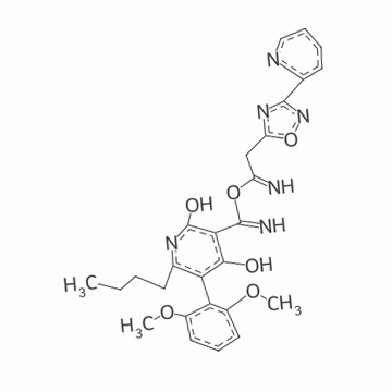 CCCCc1nc(O)c(C(=N)OC(=N)Cc2nc(-c3ccccn3)no2)c(O)c1-c1c(OC)cccc1OC